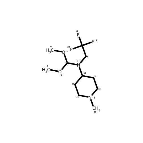 COC(OC)N(CC(F)(F)F)C1CCN(C)CC1